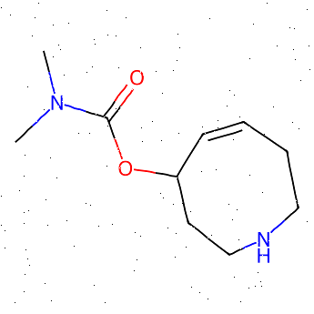 CN(C)C(=O)OC1C=CCCNCC1